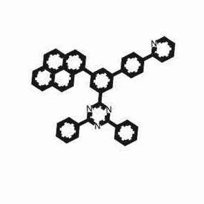 c1ccc(-c2nc(-c3ccccc3)nc(-c3cc(-c4ccc(-c5ccccn5)cc4)cc(-c4ccc5ccc6cccc7ccc4c5c67)c3)n2)cc1